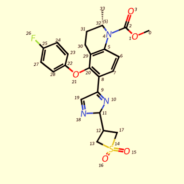 COC(=O)N1c2ccc(C3=NC(C4CS(=O)(=O)C4)N=C3)c(Oc3ccc(F)cc3)c2CC[C@@H]1C